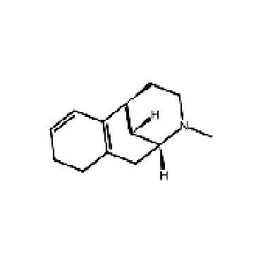 CN1CC[C@]23CCCC[C@H]2[C@H]1CC1=C3C=CCC1